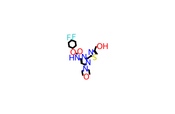 O=C(Nc1cc(N2CCOCC2)nc(-c2nc(CO)cs2)n1)OC1CCC(F)(F)CC1